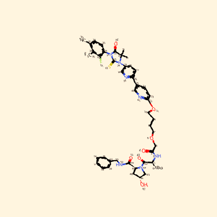 CC(C)(C)[C@H](NC(=O)COCCCCOc1ccc(-c2ccc(N3C(=S)N(c4ccc(C#N)c(C(F)(F)F)c4F)C(=O)C3(C)C)cn2)cn1)C(=O)N1C[C@H](O)C[C@H]1C(=O)NCc1ccccc1